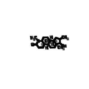 CC(=O)C1C(C)C[C@H]2[C@@H]3CCC4N(C)C(=O)C=C[C@]4(C)[C@@H]3CC[C@]12C